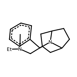 CCN(C)CC1CC2CCC(C1)N2Cc1ccccc1